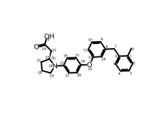 Cc1ccccc1Cc1cccc(Oc2ccc(N3CCC[C@H]3CC(=O)O)cc2)c1